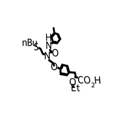 CCCCSCCN(CCOc1ccc(CC(OCC)C(=O)O)cc1)C(=O)Nc1cccc(C)c1